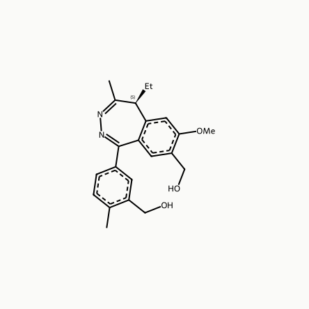 CC[C@@H]1C(C)=NN=C(c2ccc(C)c(CO)c2)c2cc(CO)c(OC)cc21